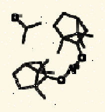 CC(C)[O-].CC1(C)C2CCC1(C)C([O][Al+][O]C1CC3CCC1(C)C3(C)C)C2